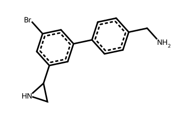 NCc1ccc(-c2cc(Br)cc(C3CN3)c2)cc1